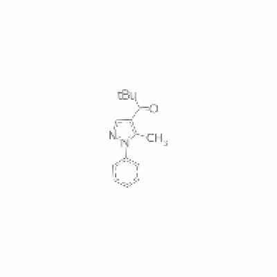 Cc1c(C(=O)C(C)(C)C)cnn1-c1ccccc1